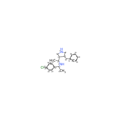 CC(NC(C)C1CNCC1Cc1ccccc1)c1ccc(Cl)cc1